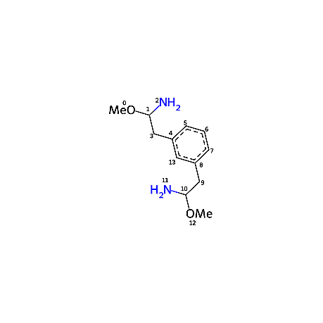 COC(N)Cc1cccc(CC(N)OC)c1